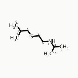 CC(C)CSCCNC(C)C